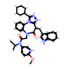 COc1ccc(N(C(=O)CN2C(=O)C(Cc3c[nH]c4ccccc34)c3nnc(C4CCCCC4)n3-c3ccccc32)C(C)C)cn1